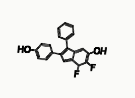 OC1=C(F)C(F)C2=CC(c3ccc(O)cc3)=C(c3ccccc3)C2=C1